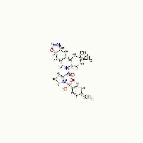 Cc1ccc(S(=O)(=O)N2CCC[C@H]2C(=O)N(Cc2ccc3ncoc3c2)C2CCC(C)(C)CC2)cc1